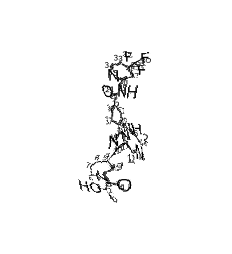 C[C@@H](O)C(=O)N1CCC[C@@H](C2=C3C=NC=C[N+]3(N)C(c3ccc(C(=O)Nc4cc(C(F)(F)F)ccn4)cc3)=N2)C1